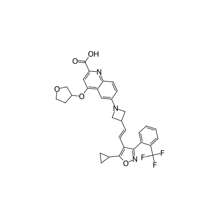 O=C(O)c1cc(OC2CCOC2)c2cc(N3CC(C=Cc4c(-c5ccccc5C(F)(F)F)noc4C4CC4)C3)ccc2n1